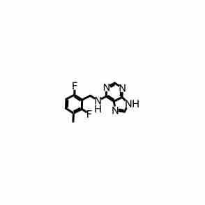 Cc1ccc(F)c(CNc2ncnc3[nH]cnc23)c1F